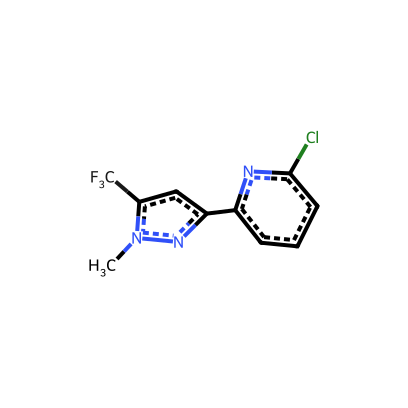 Cn1nc(-c2cccc(Cl)n2)cc1C(F)(F)F